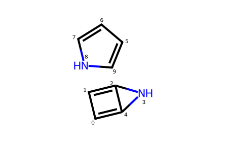 c1cc2[nH]c1-2.c1cc[nH]c1